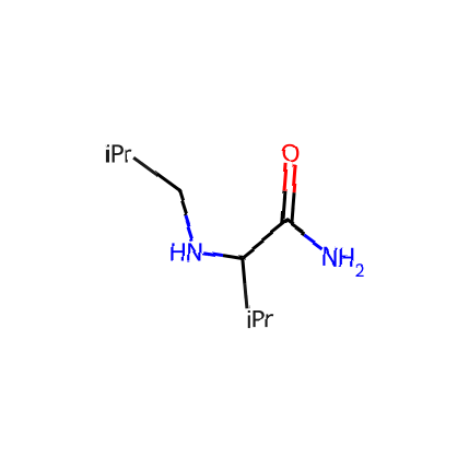 CC(C)CNC(C(N)=O)C(C)C